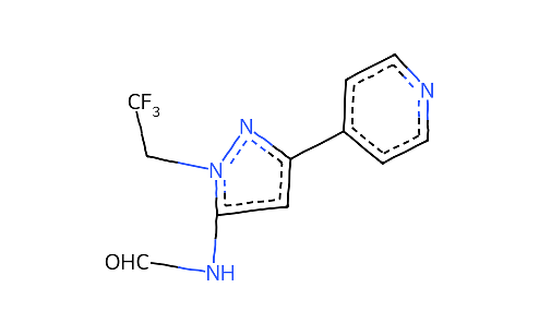 O=CNc1cc(-c2ccncc2)nn1CC(F)(F)F